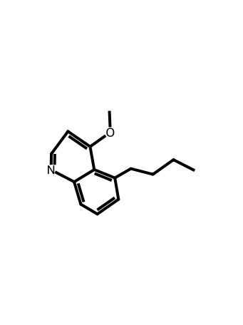 CCCCc1cccc2nccc(OC)c12